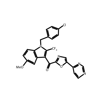 COc1ccc2c(c1)c(C(=O)c1ncc(-c3ccncn3)o1)c(C(F)(F)F)n2Cc1ccc(Cl)cc1